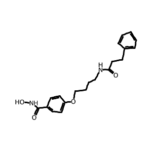 O=C(CCc1ccccc1)NCCCCOc1ccc(C(=O)NO)cc1